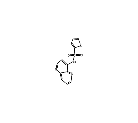 O=S(=O)(Nc1ccnc2cccnc12)c1cccs1